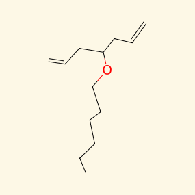 C=CCC(CC=C)OCCCCCC